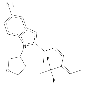 C/C=C(\C=C/C(C)c1cc2cc(N)ccc2n1C1CCOC1)C(C)(F)F